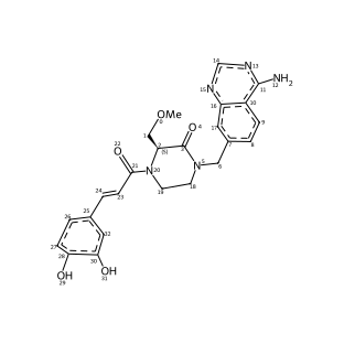 COC[C@H]1C(=O)N(Cc2ccc3c(N)ncnc3c2)CCN1C(=O)C=Cc1ccc(O)c(O)c1